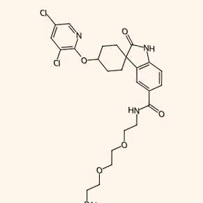 COCCOCCOCCNC(=O)c1ccc2c(c1)C1(CCC(Oc3ncc(Cl)cc3Cl)CC1)C(=O)N2